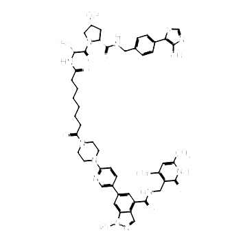 CCCc1cc(C)[nH]c(=O)c1CNC(=O)c1cc(-c2ccc(N3CCN(C(=O)CCCCCCC(=O)N[C@H](C(=O)N4C[C@H](O)C[C@H]4C(=O)NCc4ccc(-c5scnc5C)cc4)C(C)(C)C)CC3)nc2)cc2c1cnn2C(C)C